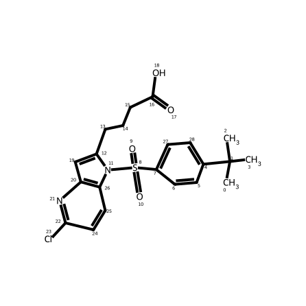 CC(C)(C)c1ccc(S(=O)(=O)n2c(CCCC(=O)O)cc3nc(Cl)ccc32)cc1